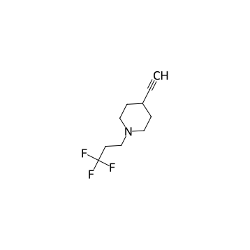 C#CC1CCN(CCC(F)(F)F)CC1